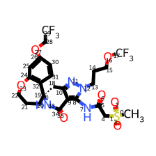 CS(=O)(=O)CC(=O)Nc1c2c(nn1CCCOC(F)(F)F)C[C@@]1(CCCOc3cc(OCC(F)(F)F)ccc31)NC2=O